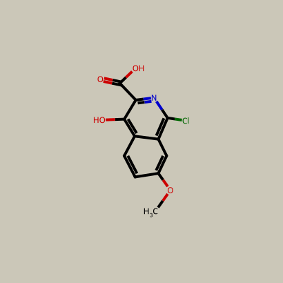 COc1ccc2c(O)c(C(=O)O)nc(Cl)c2c1